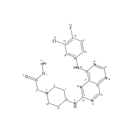 CCCOC(=O)CN1CCC(Nc2ncc3ncnc(Nc4ccc(F)c(Cl)c4)c3n2)CC1